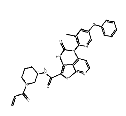 C=CC(=O)N1CCC[C@@H](NC(=O)c2sc3nccc4c3c2NC(=O)N4c2ncc(Oc3ccccc3)cc2C)C1